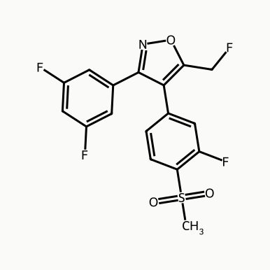 CS(=O)(=O)c1ccc(-c2c(-c3cc(F)cc(F)c3)noc2CF)cc1F